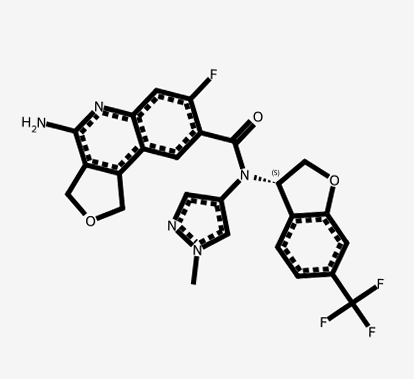 Cn1cc(N(C(=O)c2cc3c4c(c(N)nc3cc2F)COC4)[C@@H]2COc3cc(C(F)(F)F)ccc32)cn1